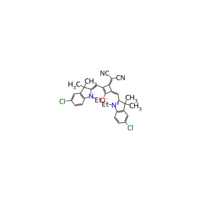 CCN1/C(=C\C2=C([O-])C(=C\C3=[N+](CC)c4ccc(Cl)cc4C3(C)C)/C2=C(C#N)C#N)C(C)(C)c2cc(Cl)ccc21